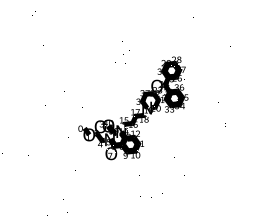 COC(=O)Cn1c(=O)c2ccccc2n(CCCCN2CCC(OC(c3ccccc3)c3ccccc3)CC2)c1=O